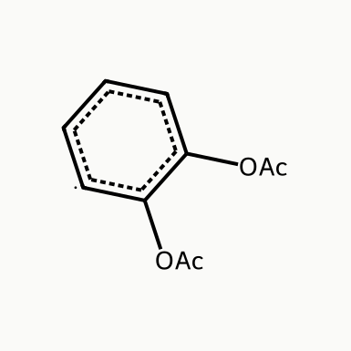 CC(=O)Oc1[c]cccc1OC(C)=O